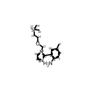 Cc1ccc(N)c(-c2nccn2COCC[Si](C)(C)C)c1